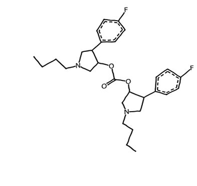 CCCCN1CC(OC(=O)OC2CN(CCCC)CC2c2ccc(F)cc2)C(c2ccc(F)cc2)C1